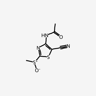 CC(=O)Nc1nc([S+](C)[O-])sc1C#N